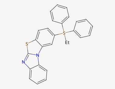 CCS(c1ccccc1)(c1ccccc1)c1ccc2sc3nc4ccccc4n3c2c1